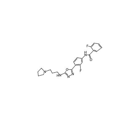 O=C(Nc1ccc(-c2nnc(NCCCN3CCCC3)o2)c(F)c1)c1ccccc1F